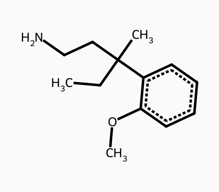 CCC(C)(CCN)c1ccccc1OC